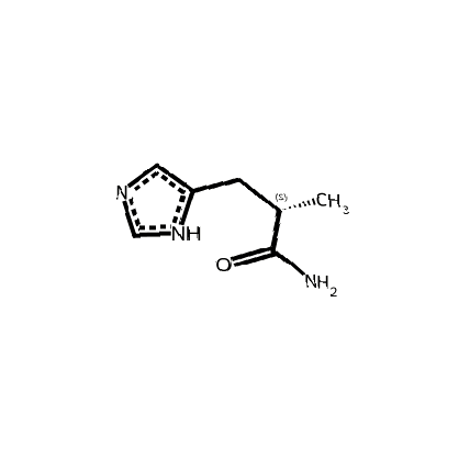 C[C@@H](Cc1cnc[nH]1)C(N)=O